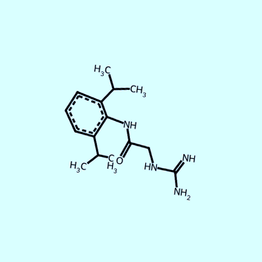 CC(C)c1cccc(C(C)C)c1NC(=O)CNC(=N)N